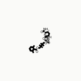 Cc1cccc(C)c1C(=O)OCC(C)(C)C(C)(C)COS(=O)(=O)ON1C(=O)N2C[C@H]1CC[C@H]2C(N)=O